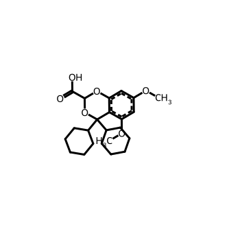 COc1cc(OC)c2c(c1)OC(C(=O)O)OC2(C1CCCCC1)C1CCCCC1